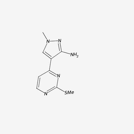 CSc1nccc(-c2cn(C)nc2N)n1